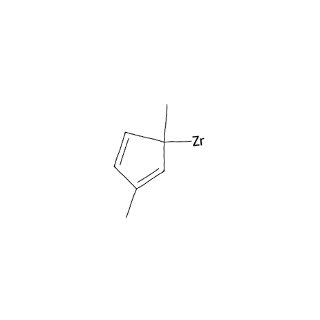 CC1=C[C](C)([Zr])C=C1